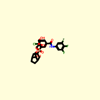 O=C(Nc1cc(F)c(F)c(F)c1)c1ccc(Cl)c(S(=O)(=O)C2CC3CCC(C2)C3(O)COCC(O)CO)c1